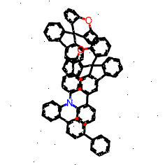 c1ccc(-c2ccc(-c3ccccc3N(c3ccc(-c4ccc5c(c4)-c4ccccc4C54c5ccccc5Oc5ccccc54)cc3)c3ccccc3-c3ccc4c(c3)-c3ccccc3C43c4ccccc4Oc4ccccc43)cc2)cc1